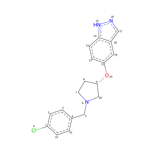 Clc1ccc(CN2CC[C@H](Oc3ccc4[nH]ncc4c3)C2)cc1